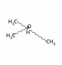 CCCCCCCCCCCC[PH](=O)C(CCCCCC)CCCCCCC